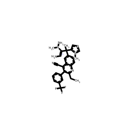 CCc1nc2ccc(C(C)(/C(=C/N)N(C)N)c3cncn3C)cc2c(C#N)c1-c1cccc(C(F)(F)F)c1